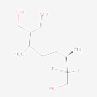 CC(CC[C@@H](C)C(F)(F)CO)C(CO)CO